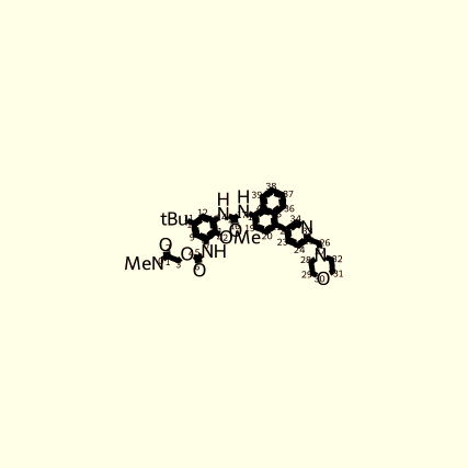 CNC(=O)COC(=O)Nc1cc(C(C)(C)C)cc(NC(=O)Nc2ccc(-c3ccc(CN4CCOCC4)nc3)c3ccccc23)c1OC